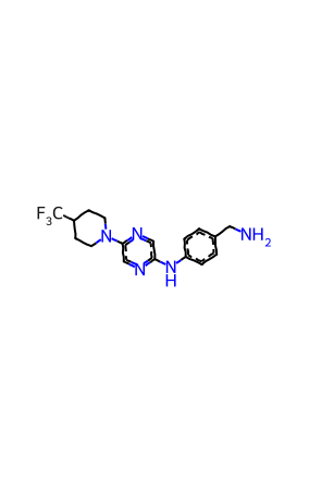 NCc1ccc(Nc2cnc(N3CCC(C(F)(F)F)CC3)cn2)cc1